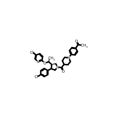 CC(=O)c1ccc(N2CCC(C(=O)N3CC(c4ccc(Cl)cc4)[C@@H]([C@H](C)Oc4ccc(Cl)cn4)C3)CC2)cc1